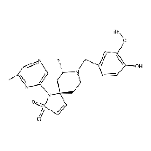 Cc1cncc(N2[C@]3(C=CS2(=O)=O)CCN(Cc2ccc(O)c(OC(C)C)c2)[C@@H](C)C3)n1